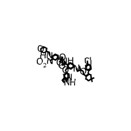 CC1(C)CCC(COC2CN(c3ccc(C(=O)NS(=O)(=O)c4ccc(NCC5CCOCC5)c([N+](=O)[O-])c4)c(Oc4cnc5[nH]ccc5c4)c3)C2)=C(c2ccc(Cl)cc2)C1